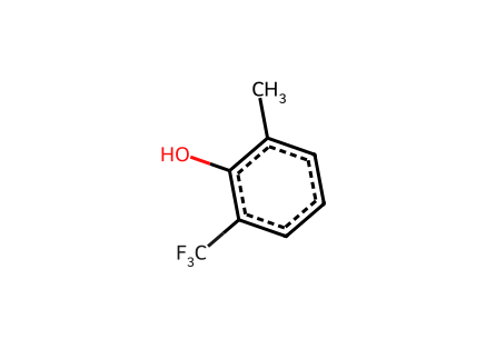 Cc1cccc(C(F)(F)F)c1O